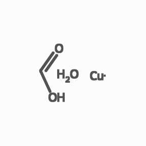 O.O=CO.[Cu]